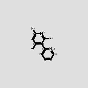 Cc1cc(F)nc(F)c1-c1ccccn1